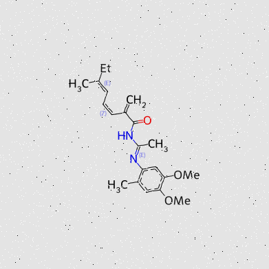 C=C(/C=C\C=C(/C)CC)C(=O)N/C(C)=N/c1cc(OC)c(OC)cc1C